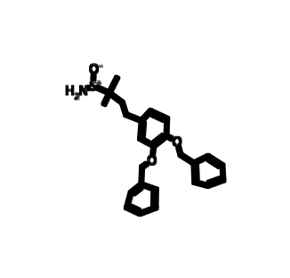 CC(C)(CCc1ccc(OCc2ccccc2)c(OCc2ccccc2)c1)[S+](N)[O-]